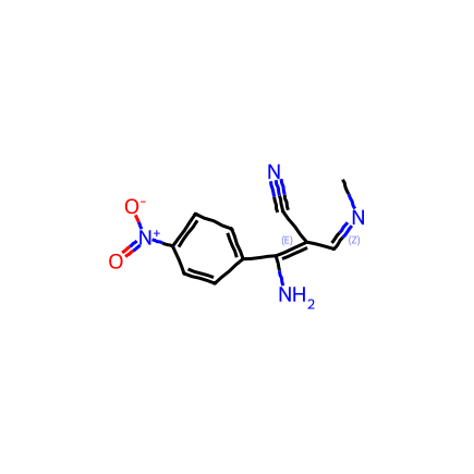 C/N=C\C(C#N)=C(/N)c1ccc([N+](=O)[O-])cc1